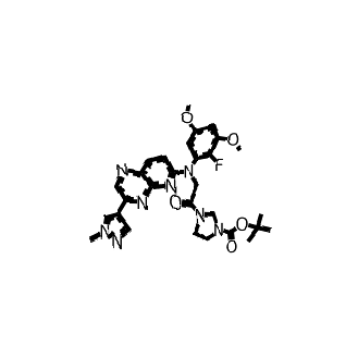 COc1cc(OC)c(F)c(N(CC(=O)N2CCN(C(=O)OC(C)(C)C)C2)c2ccc3ncc(-c4cnn(C)c4)nc3n2)c1